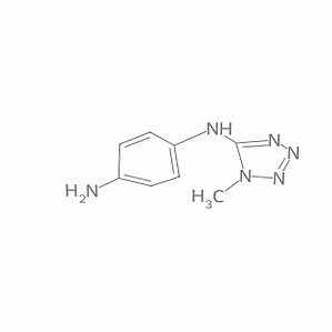 Cn1nnnc1Nc1ccc(N)cc1